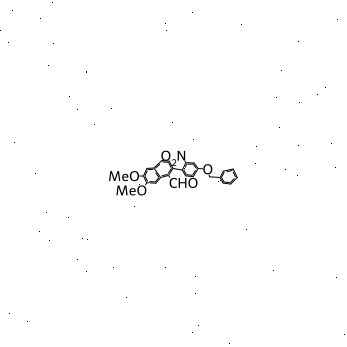 COc1cc2ccc(-c3ccc(OCc4ccccc4)cc3[N+](=O)[O-])c(C=O)c2cc1OC